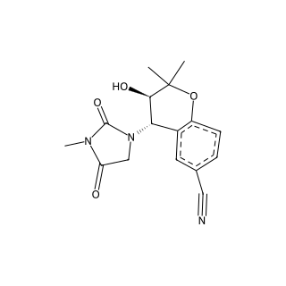 CN1C(=O)CN([C@H]2c3cc(C#N)ccc3OC(C)(C)[C@@H]2O)C1=O